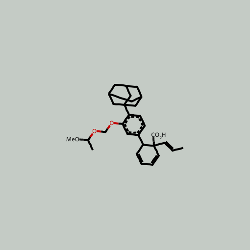 CC=CC1(C(=O)O)C=CC=CC1c1ccc(C23CC4CC(CC(C4)C2)C3)c(OCOC(C)OC)c1